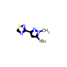 Cn1nc(-c2ncsn2)cc1C(C)(C)C